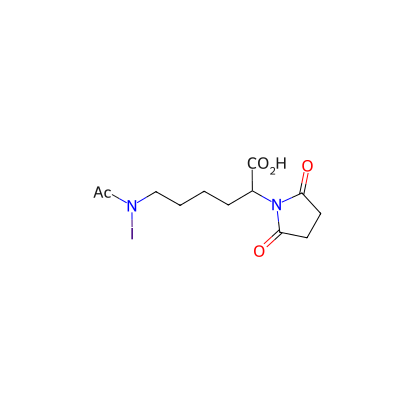 CC(=O)N(I)CCCCC(C(=O)O)N1C(=O)CCC1=O